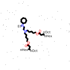 CCCCCCCCC(CCCCCC)CC(=O)OCCCCCN(CCCCCOC(=O)CC(CCCCCC)CCCCCCCC)CCN(CC)C1CCCCCC1